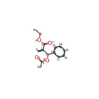 C=C(C(=O)OCC)C(OC(C)=O)c1ccccc1